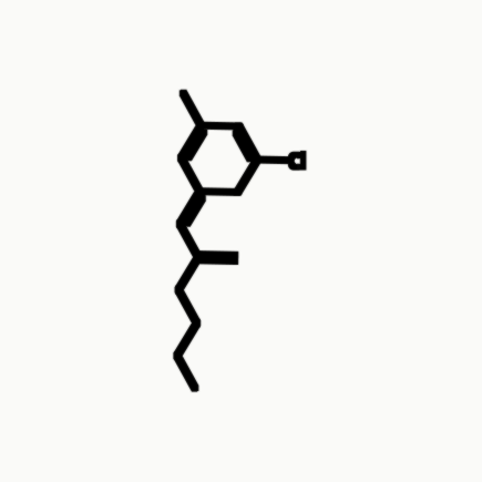 C=C(/C=C1/C=C(C)C=C(Cl)C1)CCCC